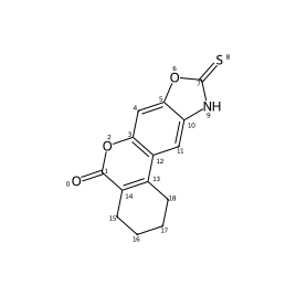 O=c1oc2cc3oc(=S)[nH]c3cc2c2c1CCCC2